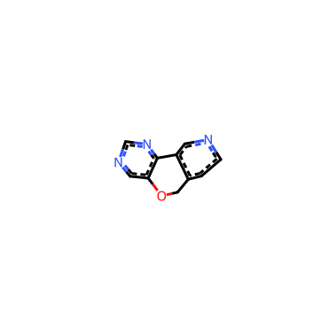 c1cc2c(cn1)-c1ncncc1OC2